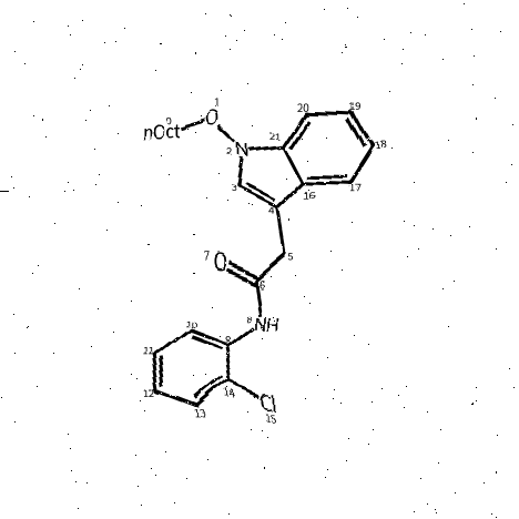 CCCCCCCCOn1cc(CC(=O)Nc2ccccc2Cl)c2ccccc21